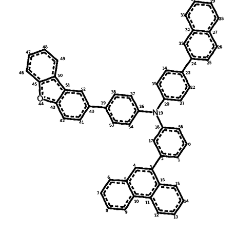 c1cc(-c2cc3ccccc3c3ccccc23)cc(N(c2ccc(-c3ccc4ccccc4c3)cc2)c2ccc(-c3ccc4oc5ccccc5c4c3)cc2)c1